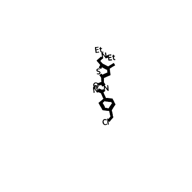 CCN(CC)Cc1sc(-c2nc(-c3ccc(CCl)cc3)no2)cc1C